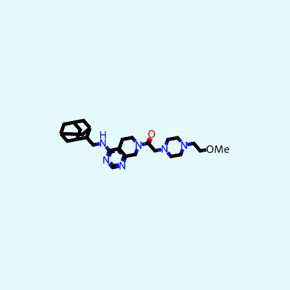 COCCN1CCN(CC(=O)N2CCc3c(ncnc3NCC3C4CC5CC(C4)CC3C5)C2)CC1